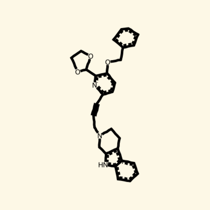 C(#Cc1ccc(OCc2ccccc2)c(C2OCCO2)n1)CN1CCc2c([nH]c3ccccc23)C1